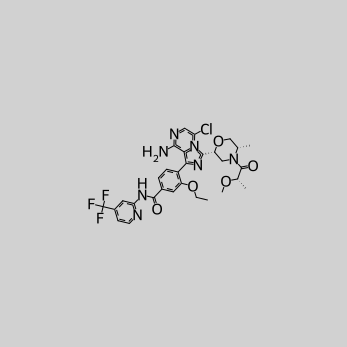 CCOc1cc(C(=O)Nc2cc(C(F)(F)F)ccn2)ccc1-c1nc([C@H]2CN(C(=O)[C@H](C)OC)[C@@H](C)CO2)n2c(Cl)cnc(N)c12